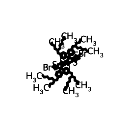 CCCCCCC(CCCC)Cc1ccc(C2(c3ccc(CC(CCCC)CCCCCC)cc3)c3cc(Br)sc3-c3sc4c5c(sc4c32)-c2sc3cc(Br)sc3c2C5(c2ccc(CC(CCCC)CCCCCC)cc2)c2ccc(CC(CCCC)CCCCCC)cc2)cc1